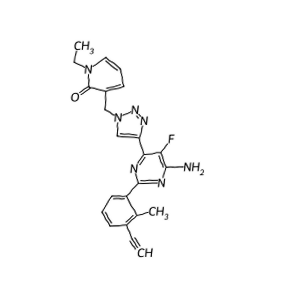 C#Cc1cccc(-c2nc(N)c(F)c(-c3cn(Cc4cccn(CC)c4=O)nn3)n2)c1C